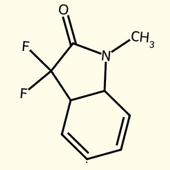 CN1C(=O)C(F)(F)C2C=[C]C=CC21